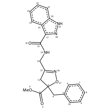 COC(=O)C1(Cc2ccccc2)CC(CNC(=O)c2n[nH]c3ccccc23)=NO1